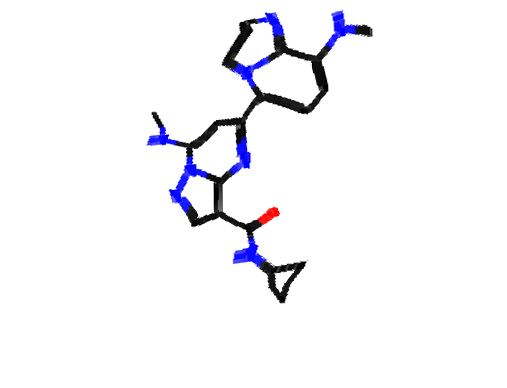 CNc1ccc(-c2cc(NC)n3ncc(C(=O)NC4CC4)c3n2)n2ccnc12